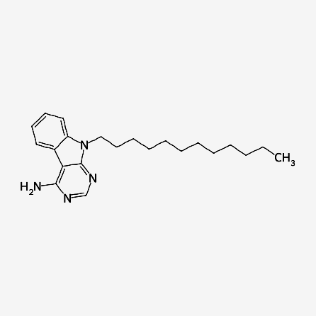 CCCCCCCCCCCCn1c2ccccc2c2c(N)ncnc21